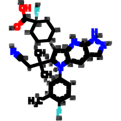 Cc1cc(-n2c(C(C)(C)CC#N)c([C@H]3CC[C@](F)(C(=O)O)CC3)c3nc4[nH]ncc4cc32)ccc1F